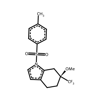 CO[C@@]1(C(F)(F)F)CCc2ccn(S(=O)(=O)c3ccc(C)cc3)c2C1